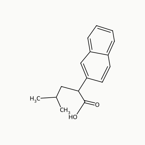 CC(C)CC(C(=O)O)c1ccc2ccccc2c1